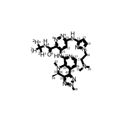 [2H]C([2H])([2H])NC(=O)c1nnc(Nc2ccn(CCN(C)C)n2)cc1Nc1nccc2c1N(C)[C@H](C)c1nn(C)nc1-2